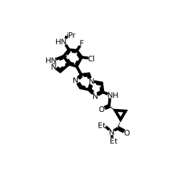 CCN(CC)C(=O)[C@H]1C[C@H]1C(=O)Nc1cn2cc(-c3c(Cl)c(F)c(NC(C)C)c4[nH]ncc34)ncc2n1